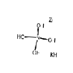 O[Si](O)(O)O.[KH].[Zr]